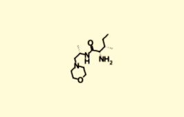 CC[C@H](C)[C@H](N)C(=O)N[C@@H](C)CN1CCOCC1